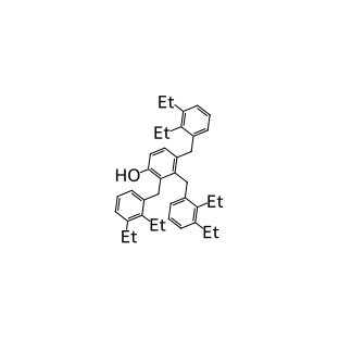 CCc1cccc(Cc2ccc(O)c(Cc3cccc(CC)c3CC)c2Cc2cccc(CC)c2CC)c1CC